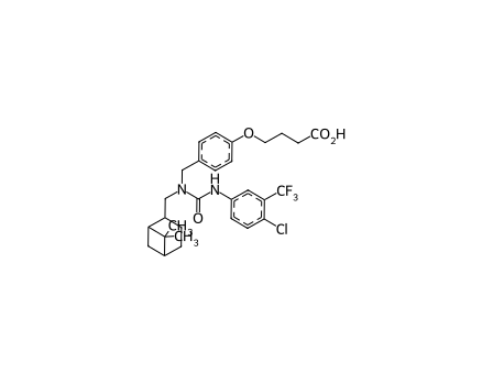 CC1(C)C2CCC(CN(Cc3ccc(OCCCC(=O)O)cc3)C(=O)Nc3ccc(Cl)c(C(F)(F)F)c3)C1C2